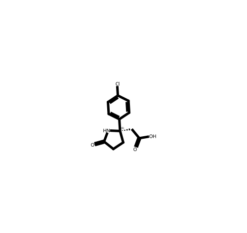 O=C(O)C[C@]1(c2ccc(Cl)cc2)CCC(=O)N1